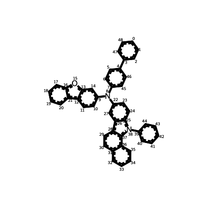 c1ccc(-c2ccc(N(c3ccc4c(c3)oc3ccccc34)c3ccc4c(c3)c3ccc5ccccc5c3n4-c3ccccc3)cc2)cc1